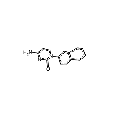 Nc1ccn(-c2ccc3ccccc3c2)c(=O)n1